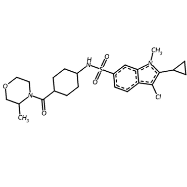 CC1COCCN1C(=O)C1CCC(NS(=O)(=O)c2ccc3c(Cl)c(C4CC4)n(C)c3c2)CC1